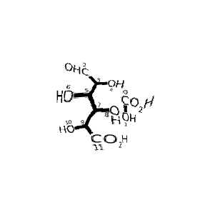 O=C(O)O.O=CC(O)C(O)C(O)C(O)C(=O)O